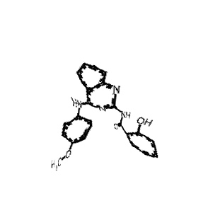 COc1ccc(Nc2nc(NC(=O)c3ccccc3O)nc3ccccc23)cc1